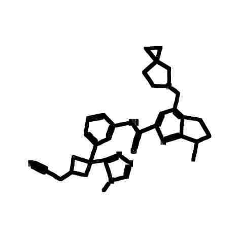 CC1CCc2c(CN3CCC4(CC4)C3)cc(C(=O)Nc3cccc(C4(c5nncn5C)CC(CC#N)C4)c3)nc21